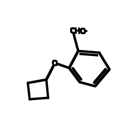 O=[C]c1ccccc1OC1CCC1